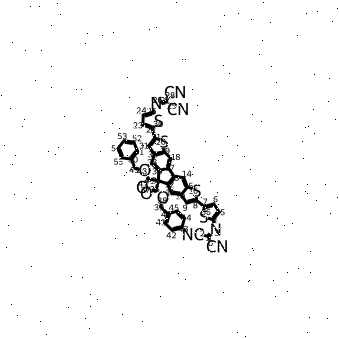 N#CC(C#N)=Nc1ccc(-c2cc3cc4c(cc3s2)-c2cc3sc(-c5ccc(N=C(C#N)C#N)s5)cc3cc2C4(C(=O)OCc2ccccc2)C(=O)OCc2ccccc2)s1